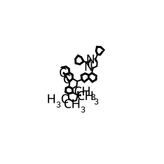 CC1(C)CCC(C)(C)c2c1ccc1c2CC(c2ccc3c(C4=NC(c5ccccc5)=NC(c5ccccc5)=CC4)cccc3c2)c2cc3ccccc3cc2-1